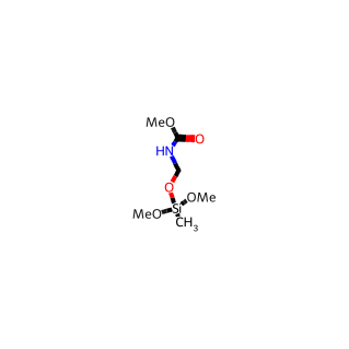 COC(=O)NCO[Si](C)(OC)OC